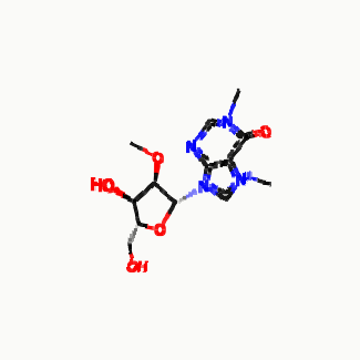 CO[C@@H]1[C@H](O)[C@@H](CO)O[C@H]1n1c[n+](C)c2c(=O)n(C)cnc21